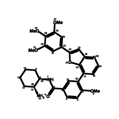 COc1ccc(C(=O)N[C@@H]2CCCC[C@@H]2N)cc1-c1ccnc2cc(-c3cc(OC)c(OC)c(OC)c3)oc12